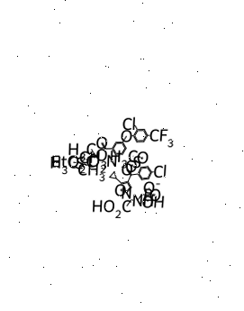 CCOC(=O)C(C)OC(=O)c1cc(Oc2ccc(C(F)(F)F)cc2Cl)ccc1[N+](=O)[O-].CS(=O)(=O)c1cc(Cl)ccc1C(=O)c1cnoc1C1CC1.C[S+](C)C.O=C(O)CNCP(=O)([O-])O